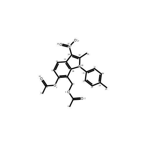 CC(=O)OCc1c(OC(C)=O)ccc2c([N+](=O)[O-])c(C)n(-c3ccc(C)cc3)c12